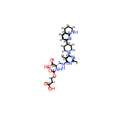 Cc1nc(NC[C@H](NC(=O)OCCC(=O)O)C(=O)O)c(C)c(N2CCC(c3ccc4c(n3)NCCC4)CC2)n1